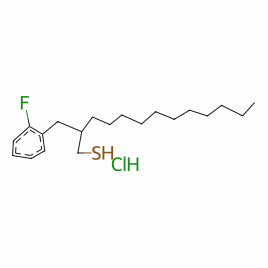 CCCCCCCCCCCC(CS)Cc1ccccc1F.Cl